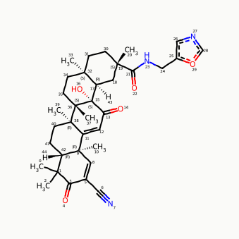 CC1(C)C(=O)C(C#N)=C[C@]2(C)C3=CC(=O)[C@]4(O)[C@@H]5C[C@@](C)(C(=O)NCc6cnco6)CC[C@]5(C)CC[C@@]4(C)[C@]3(C)CC[C@@H]12